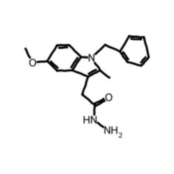 COc1ccc2c(c1)c(CC(=O)NN)c(C)n2Cc1ccccc1